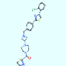 O=C(c1nccs1)N1CCN(C2CN(Cc3ccc(-c4nc(-c5ccccc5Cl)cs4)cc3)C2)CC1